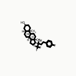 C[C@]12CC[C@H](O)C[C@@H]1CC[C@@H]1[C@@H]2CC[C@]2(C)[C@@H](C(O)(CCc3ccc(F)cc3)C(F)(F)F)CC[C@@H]12